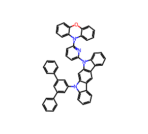 c1ccc(-c2cc(-c3ccccc3)cc(-n3c4ccccc4c4cc5c6ccccc6n(-c6cccc(N7c8ccccc8Oc8ccccc87)n6)c5cc43)c2)cc1